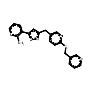 Nc1ncccc1-c1cc(Cc2ccc(OCc3cccnc3)nc2)no1